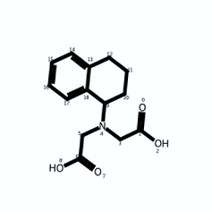 O=C(O)CN(CC(=O)O)C1CCCc2ccccc21